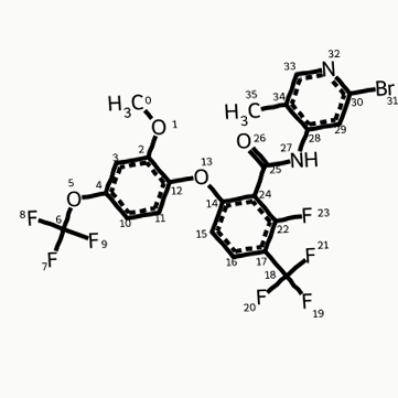 COc1cc(OC(F)(F)F)ccc1Oc1ccc(C(F)(F)F)c(F)c1C(=O)Nc1cc(Br)ncc1C